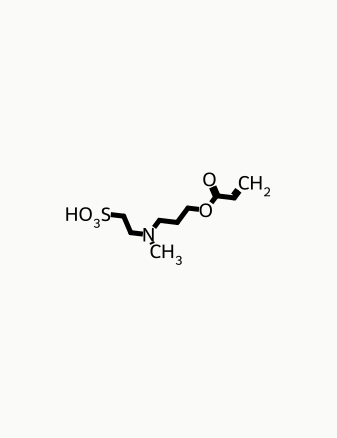 C=CC(=O)OCCCN(C)CCS(=O)(=O)O